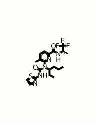 CCCC(CC)N(C(=O)Nc1nccs1)c1nc(C(=O)N[C@H](C)C(F)(F)F)ccc1C